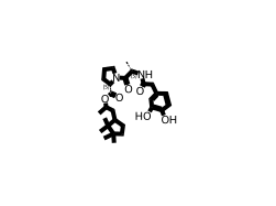 CC(CC1CCC(C)(C)C1(C)C)OC(=O)[C@@H]1CCCN1C(=O)[C@H](C)NC(=O)Cc1ccc(O)c(O)c1